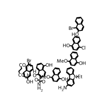 CCn1c2ccccc2c2cc(N)ccc21.COc1ccc(O)c2ccccc12.COc1ccc(O)c2ccccc12.NS(=O)(=O)c1ccc2c(O)cccc2c1O.O=C(O)CCC(=O)O.Oc1ccc(Cl)c2ccccc12.Oc1ccc2cc(Br)ccc2c1.Oc1ccc2ccccc2c1Br